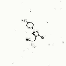 CCc1sc(-c2ccc(C(F)(F)F)cc2)nc1CC(C)O